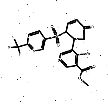 COC(=O)c1cccc(C2CC(=O)C=CC2S(=O)(=O)c2ccc(C(F)(F)F)nc2)c1Br